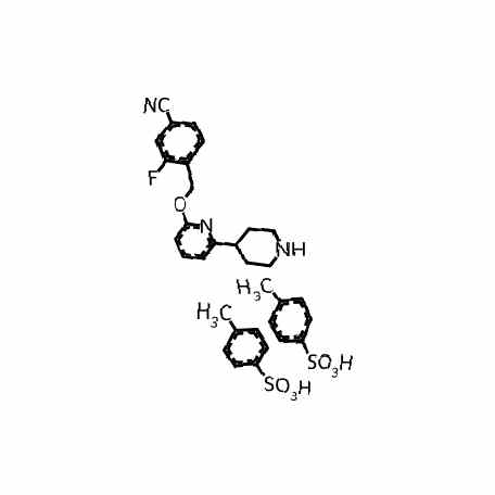 Cc1ccc(S(=O)(=O)O)cc1.Cc1ccc(S(=O)(=O)O)cc1.N#Cc1ccc(COc2cccc(C3CCNCC3)n2)c(F)c1